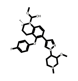 COC1CN(C)CCC1n1cc(-c2ccc3c(c2Oc2ccc(F)cc2)CC[C@H](C)N3C(O)OC)cn1